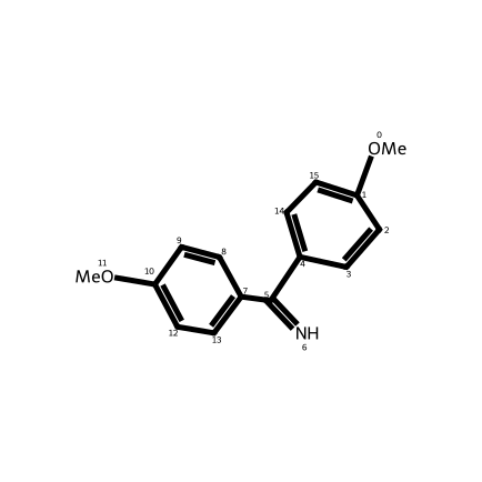 COc1ccc(C(=N)c2ccc(OC)cc2)cc1